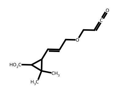 CC1(C)C(C=CCOCC=C=O)C1C(=O)O